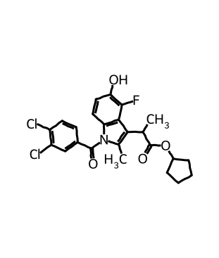 Cc1c(C(C)C(=O)OC2CCCC2)c2c(F)c(O)ccc2n1C(=O)c1ccc(Cl)c(Cl)c1